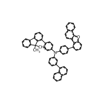 CC1(C)c2ccccc2-c2cccc(-c3ccc(N(c4ccc(-c5cccc6oc7c8ccccc8ccc7c56)cc4)c4cccc(-c5cccc6ccccc56)c4)cc3)c21